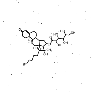 CC(C)CCCCC(O)C(C)(O)C1C(OC(=O)C(O)C(O)C(O)C(O)CO)CC2C3CCC4=CC(=O)CCC4(C)C3CCC21C